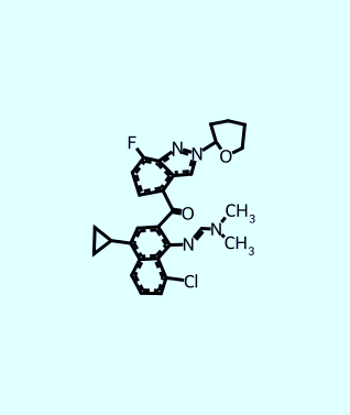 CN(C)/C=N/c1c(C(=O)c2ccc(F)c3nn(C4CCCCO4)cc23)cc(C2CC2)c2cccc(Cl)c12